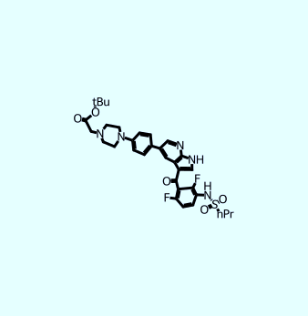 CCCS(=O)(=O)Nc1ccc(F)c(C(=O)c2c[nH]c3ncc(-c4ccc(N5CCN(CC(=O)OC(C)(C)C)CC5)cc4)cc23)c1F